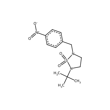 CC(C)(C)N1CCN(Cc2ccc([N+](=O)[O-])cc2)S1(=O)=O